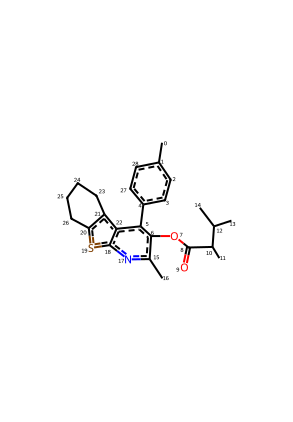 Cc1ccc(-c2c(OC(=O)C(C)C(C)C)c(C)nc3sc4c(c23)CCCC4)cc1